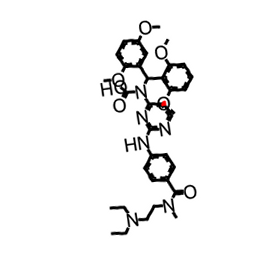 CCN(CC)CCN(C)C(=O)c1ccc(Nc2nccc(N(C(=O)O)C(c3cc(OC)ccc3OC)c3c(OC)cccc3OC)n2)cc1